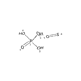 O=P(O)(O)O.O=S